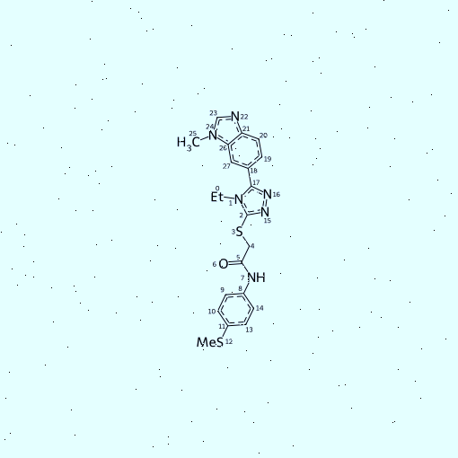 CCn1c(SCC(=O)Nc2ccc(SC)cc2)nnc1-c1ccc2ncn(C)c2c1